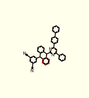 N#Cc1cc(C#N)cc(C23c4ccccc4C(c4nc(-c5ccccc5)cc(-c5ccc(-c6ccccc6)cc5)n4)(c4ccccc42)c2ccccc23)c1